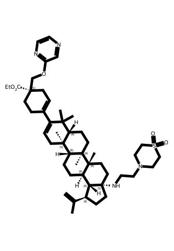 C=C(C)[C@@H]1CC[C@]2(NCCN3CCS(=O)(=O)CC3)CC[C@]3(C)[C@H](CC[C@@H]4[C@@]5(C)CC=C(C6=CC[C@@](COc7cnccn7)(C(=O)OCC)CC6)C(C)(C)[C@@H]5CC[C@]43C)[C@@H]12